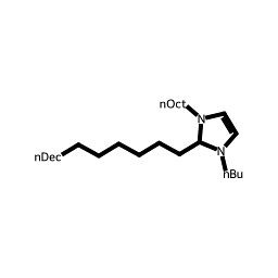 CCCCCCCCCCCCCCCCC1N(CCCC)C=CN1CCCCCCCC